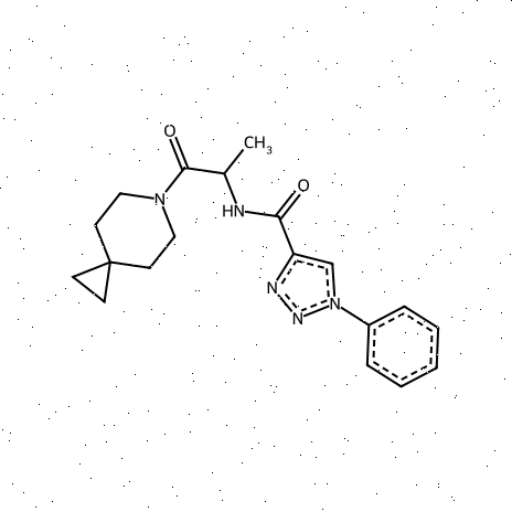 CC(NC(=O)c1cn(-c2ccccc2)nn1)C(=O)N1CCC2(CC1)CC2